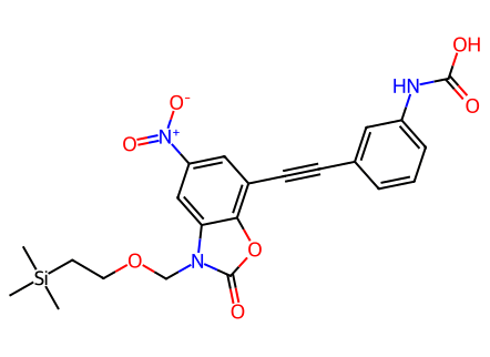 C[Si](C)(C)CCOCn1c(=O)oc2c(C#Cc3cccc(NC(=O)O)c3)cc([N+](=O)[O-])cc21